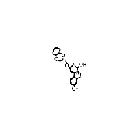 Oc1ccc2c(c1)CCN1C2=CC(OC[C@@H]2COc3ncccc3O2)=NC1O